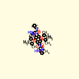 CCN(Cc1ccccc1)C(=O)C(Cc1ncc[nH]1)N1C(=O)c2cc(Oc3cc(C)cc(C)c3)c3c4c(Oc5cc(C)cc(C)c5)cc5c6c(cc(Oc7cc(C)cc(C)c7)c(c7c(Oc8cc(C)cc(C)c8)cc(c2c37)C1=O)c64)C(=O)N(C(Cc1ncc[nH]1)C(=O)N(CC)Cc1ccccc1)C5=O